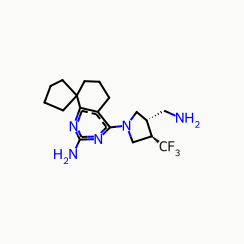 NC[C@H]1CN(c2nc(N)nc3c2CCCC32CCCC2)C[C@@H]1C(F)(F)F